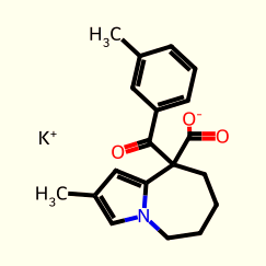 Cc1cccc(C(=O)C2(C(=O)[O-])CCCCn3cc(C)cc32)c1.[K+]